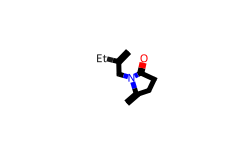 C=C(CC)CN1C(=C)CCC1=O